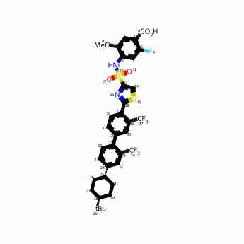 COc1cc(C(=O)O)c(F)cc1NS(=O)(=O)c1csc(-c2ccc(-c3ccc([C@H]4CC[C@H](C(C)(C)C)CC4)cc3C(F)(F)F)cc2C(F)(F)F)n1